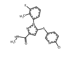 CNC(=O)c1cc(Sc2ccc(Cl)nc2)n(-c2cccc(F)c2C)n1